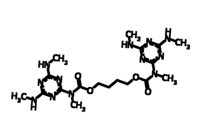 CNc1nc(NC)nc(N(C)C(=O)OCCCCOC(=O)N(C)c2nc(NC)nc(NC)n2)n1